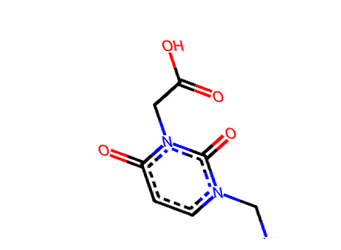 NCn1ccc(=O)n(CC(=O)O)c1=O